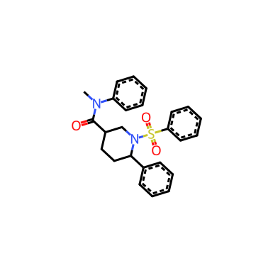 CN(C(=O)C1CCC(c2ccccc2)N(S(=O)(=O)c2ccccc2)C1)c1ccccc1